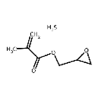 C=C(C)C(=O)OCC1CO1.S